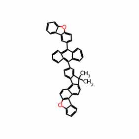 CC1(C)c2cc(-c3c4ccccc4c(-c4ccc5oc6ccccc6c5c4)c4ccccc34)ccc2-c2c1ccc1c2ccc2oc3ccccc3c21